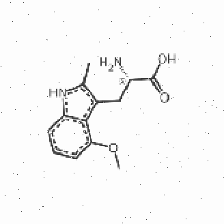 COc1cccc2[nH]c(C)c(C[C@H](N)C(=O)O)c12